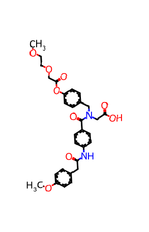 COCCOCC(=O)Oc1ccc(CN(CC(=O)O)C(=O)c2ccc(NC(=O)Cc3ccc(OC)cc3)cc2)cc1